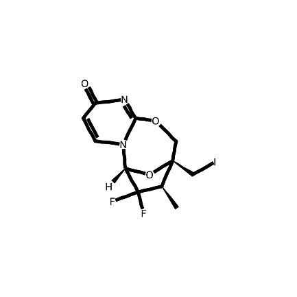 C[C@H]1C(F)(F)[C@H]2O[C@]1(CI)COc1nc(=O)ccn12